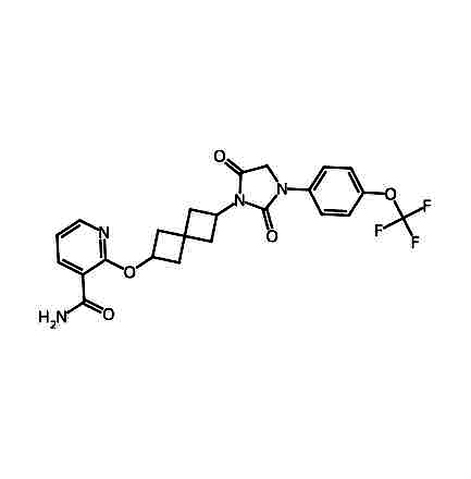 NC(=O)c1cccnc1OC1CC2(C1)CC(N1C(=O)CN(c3ccc(OC(F)(F)F)cc3)C1=O)C2